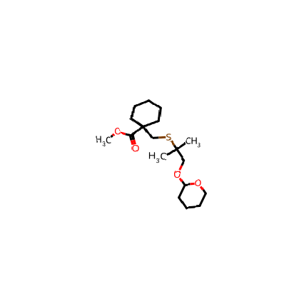 COC(=O)C1(CSC(C)(C)COC2CCCCO2)CCCCC1